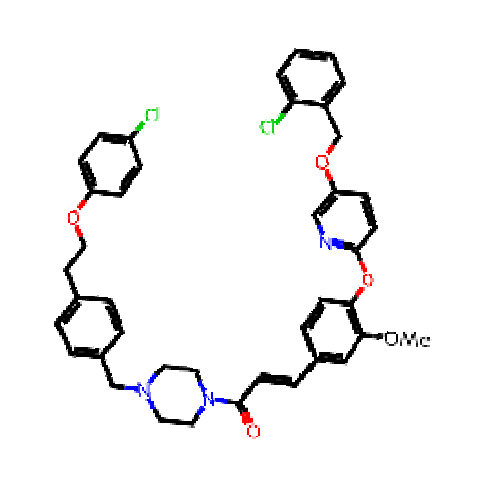 COc1cc(C=CC(=O)N2CCN(Cc3ccc(CCOc4ccc(Cl)cc4)cc3)CC2)ccc1Oc1ccc(OCc2ccccc2Cl)cn1